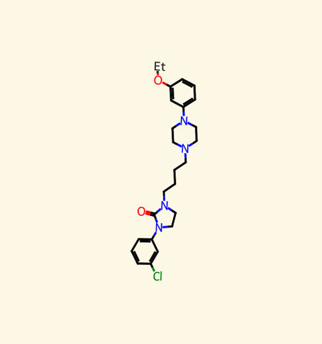 CCOc1cccc(N2CCN(CCCCN3CCN(c4cccc(Cl)c4)C3=O)CC2)c1